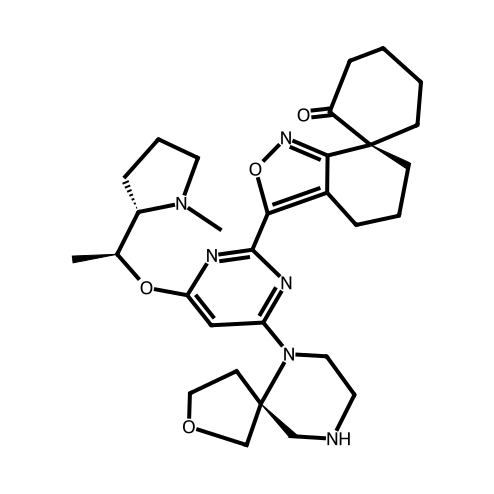 C[C@H](Oc1cc(N2CCNC[C@@]23CCOC3)nc(-c2onc3c2CCC[C@@]32CCCCC2=O)n1)[C@@H]1CCCN1C